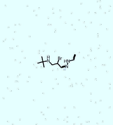 C=CN/N=C\C(Br)CNC(C)(C)C